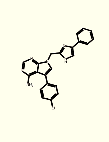 Nc1ncnc2c1c(-c1ccc(Cl)cc1)cn2Cc1nc(-c2ccccc2)c[nH]1